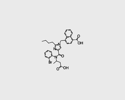 CCCCc1nc(C(=O)N(c2ccccc2Br)C(C)CC(=O)O)cn1Cc1ccc(C(=O)O)c2ccccc12